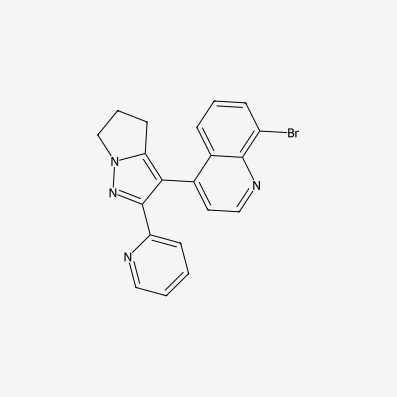 Brc1cccc2c(-c3c(-c4ccccn4)nn4c3CCC4)ccnc12